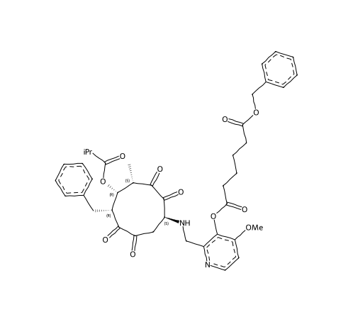 COc1ccnc(CN[C@H]2CC(=O)C(=O)[C@H](Cc3ccccc3)[C@H](OC(=O)C(C)C)[C@H](C)C(=O)C2=O)c1OC(=O)CCCCC(=O)OCc1ccccc1